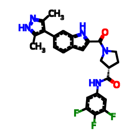 Cc1n[nH]c(C)c1-c1ccc2cc(C(=O)N3CC[C@H](C(=O)Nc4cc(F)c(F)c(F)c4)C3)[nH]c2c1